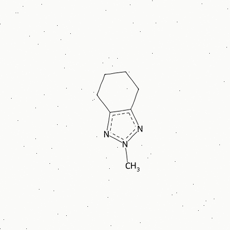 Cn1nc2c(n1)CCCC2